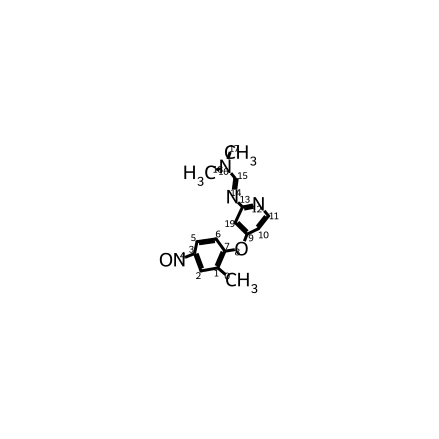 Cc1cc(N=O)ccc1Oc1ccnc(/N=C/N(C)C)c1